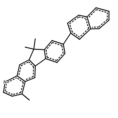 Cc1ccnc2cc3c(cc12)-c1ccc(-c2ccc4ccccc4c2)cc1C3(C)C